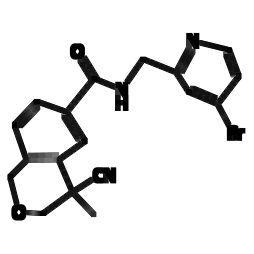 CC1(C#N)COCc2ccc(C(=O)NCc3cc(Br)ccn3)cc21